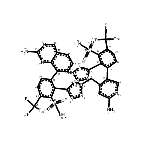 Nc1cc(Cn2nnc(-c3c(-c4cccc5cnc(N)nc45)ccc(C(F)(F)F)c3S(N)(=O)=O)n2)c(-c2ccc(C(F)(F)F)c(S(N)(=O)=O)c2-c2nn[nH]n2)cn1